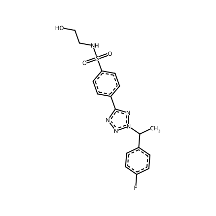 CC(c1ccc(F)cc1)n1nnc(-c2ccc(S(=O)(=O)NCCO)cc2)n1